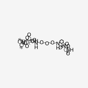 C[C@H]1C=C2C=C[C@H](C)[C@H](CC[C@@H]3C[C@@H](O)CC(=O)O3)[C@H]2[C@@H](OC(=O)C(C)(C)CCC(=O)NCCOCCOCCOCCNc2cccc3c2C(=O)N(C2CCC(=O)NC2=O)C3=O)C1